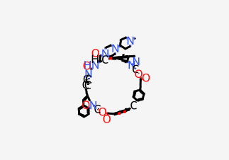 Cc1cc2cc3cnn(c13)COC(=O)c1ccc(cc1)Cc1ccc(cc1)C(=O)OCn1c(=O)c(cc3ccccc31)C1CCN(CC1)C(=O)N[C@@H](C(=O)N1CCN(C3CCN(C)CC3)CC1)C2